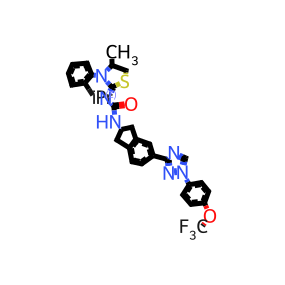 CC(C)c1ccccc1N1/C(=N/C(=O)NC2Cc3ccc(-c4ncn(-c5ccc(OC(F)(F)F)cc5)n4)cc3C2)SCC1C